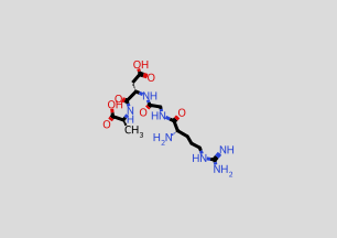 C[C@H](NC(=O)[C@H](CC(=O)O)NC(=O)CNC(=O)[C@@H](N)CCCNC(=N)N)C(=O)O